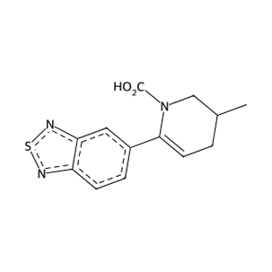 CC1CC=C(c2ccc3nsnc3c2)N(C(=O)O)C1